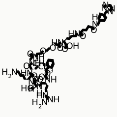 CC(C)C[C@H](NC(=O)[C@H](CCCCN)NC(=O)[C@H](CO)NC(=O)[C@H](CCCNC(=N)N)NC(=O)OCc1ccccc1)C(=O)NCC(=O)NCCOCCOCC(=O)N[C@@H](CCCCNC(=O)CCCC(=O)NCc1ccc(-c2nncnn2)cc1)C(=O)O